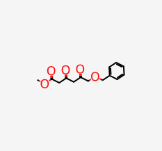 COC(=O)CC(=O)CC(=O)COCc1ccccc1